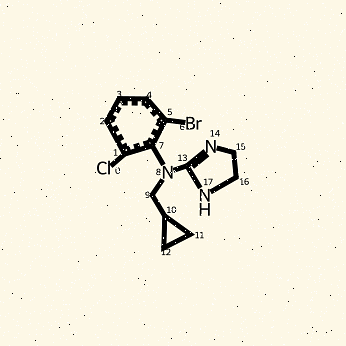 Clc1cccc(Br)c1N(CC1CC1)C1=NCCN1